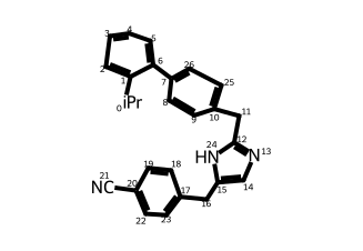 CC(C)c1ccccc1-c1ccc(Cc2ncc(Cc3ccc(C#N)cc3)[nH]2)cc1